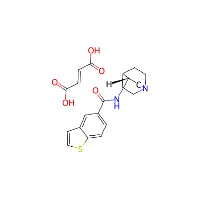 O=C(N[C@H]1CN2CCC1CC2)c1ccc2sccc2c1.O=C(O)C=CC(=O)O